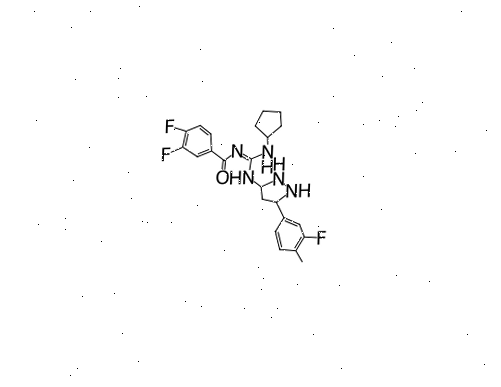 Cc1ccc(C2CC(N/C(=N\C(=O)c3ccc(F)c(F)c3)NC3CCCC3)NN2)cc1F